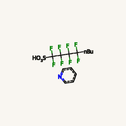 CCCCC(F)(F)C(F)(F)C(F)(F)C(F)(F)S(=O)(=O)O.c1ccncc1